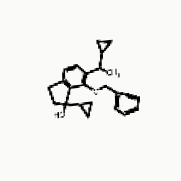 CC(c1ccc2c(c1OCc1ccccc1)C(O)(C1CC1)CC2)C1CC1